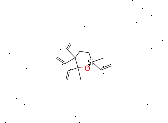 C=CC1(C=C)CC[Si](C)(C=C)OC1(C)C=C